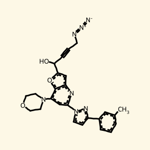 Cc1cccc(-c2ccn(-c3cc(N4CCOCC4)c4oc(C(O)C#CCN=[N+]=[N-])cc4n3)n2)c1